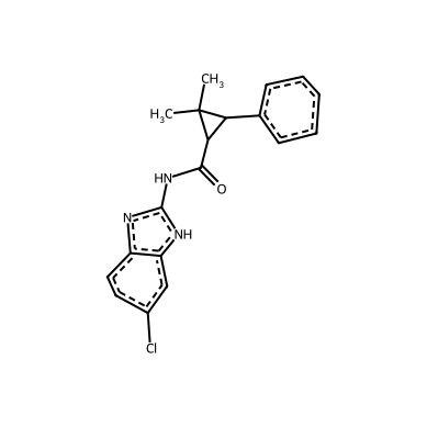 CC1(C)C(C(=O)Nc2nc3ccc(Cl)cc3[nH]2)C1c1ccccc1